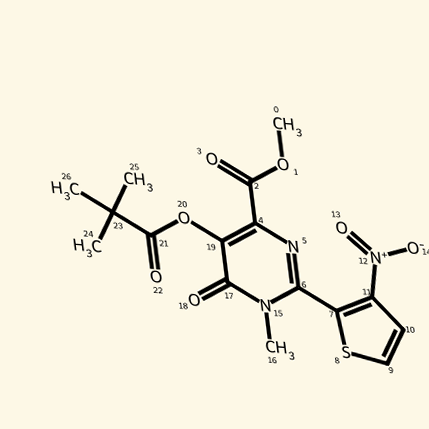 COC(=O)c1nc(-c2sccc2[N+](=O)[O-])n(C)c(=O)c1OC(=O)C(C)(C)C